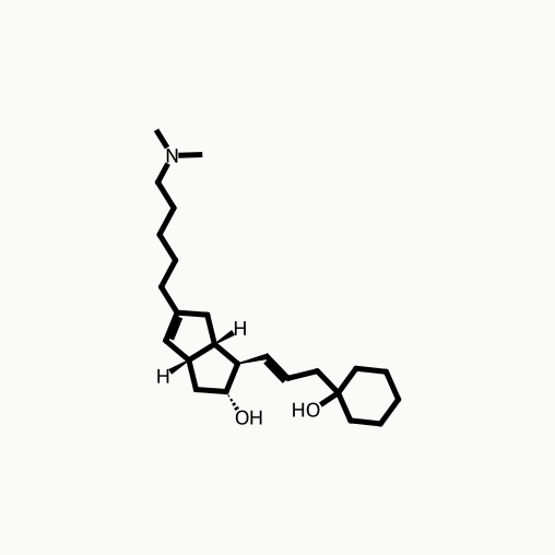 CN(C)CCCCCC1=C[C@H]2C[C@@H](O)[C@H](/C=C/CC3(O)CCCCC3)[C@H]2C1